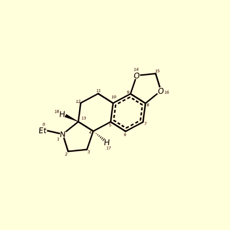 CCN1CC[C@@H]2c3ccc4c(c3CC[C@H]21)OCO4